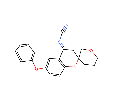 N#CN=C1CC2(CCCOC2)Oc2ccc(Oc3ccccc3)cc21